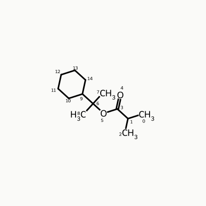 CC(C)C(=O)OC(C)(C)C1CCCCC1